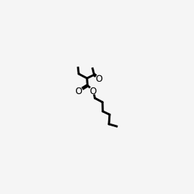 CCCCCCOC(=O)C(CC)C(C)=O